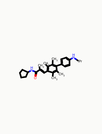 C/C(=C\c1c(C)c(C)c(-c2ccc(NC(C)C)cc2)c(C)c1C)C(=O)NC1CCCC1